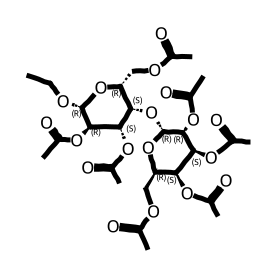 CCO[C@@H]1O[C@H](COC(C)=O)[C@H](O[C@H]2O[C@H](COC(C)=O)[C@H](OC(C)=O)[C@H](OC(C)=O)[C@H]2OC(C)=O)[C@H](OC(C)=O)[C@H]1OC(C)=O